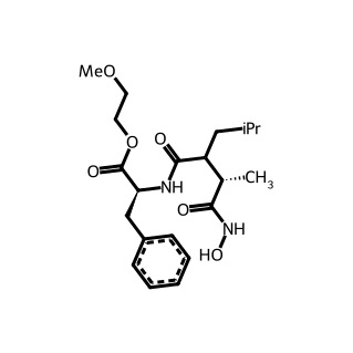 COCCOC(=O)[C@H](Cc1ccccc1)NC(=O)C(CC(C)C)[C@H](C)C(=O)NO